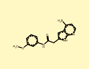 Bc1ccnc2[nH]c(CC(=O)Nc3cccc(OC)c3)cc12